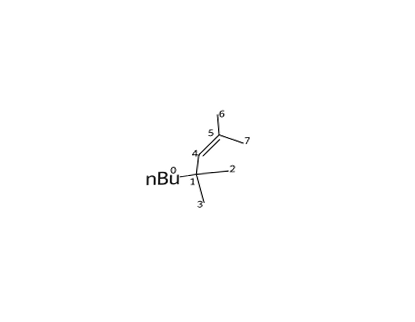 CCCCC(C)(C)C=C(C)C